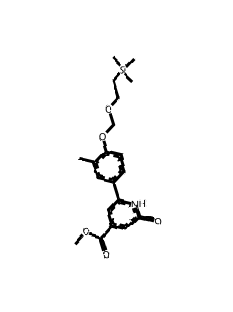 COC(=O)c1cc(-c2ccc(OCOCC[Si](C)(C)C)c(C)c2)[nH]c(=O)c1